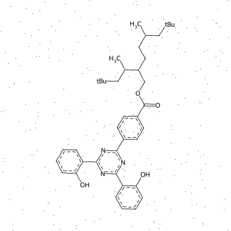 CC(CCC(COC(=O)c1ccc(-c2nc(-c3ccccc3O)nc(-c3ccccc3O)n2)cc1)C(C)CC(C)(C)C)CC(C)(C)C